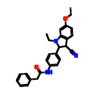 CCOc1ccc2c(c1)N(CC)C(c1ccc(NC(=O)Cc3ccccc3)cc1)C2C#N